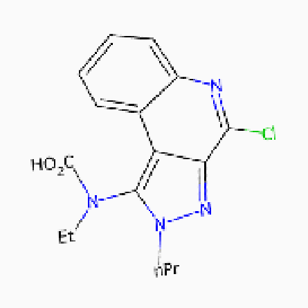 CCCn1nc2c(Cl)nc3ccccc3c2c1N(CC)C(=O)O